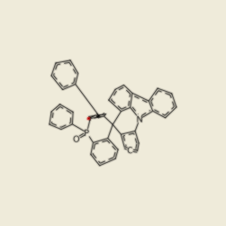 O=P1(c2ccccc2)c2ccccc2C2(c3ccccc3-n3c4ccccc4c4cccc2c43)c2ccc(-c3ccccc3)cc21